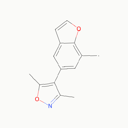 [CH2]c1cc(-c2c(C)noc2C)cc2ccoc12